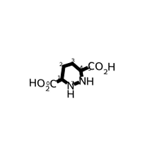 O=C(O)C1CCC(C(=O)O)NN1